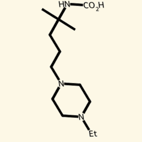 CCN1CCN(CCCC(C)(C)NC(=O)O)CC1